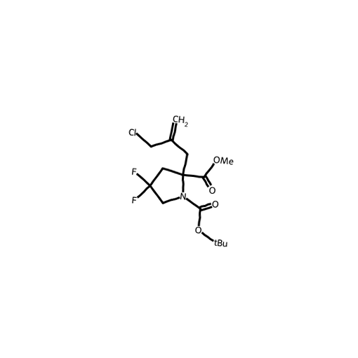 C=C(CCl)CC1(C(=O)OC)CC(F)(F)CN1C(=O)OC(C)(C)C